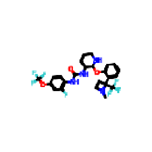 CN1CCC1(c1ccccc1OC1NCCCC1NC(=O)Nc1ccc(OC(F)(F)F)cc1F)C(F)(F)F